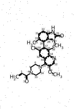 C=CC(=O)N1CCN(c2c(OC)cnc3c(F)c(-c4c(C)ccc5[nH]c(=O)n(C)c45)c(Cl)cc23)CC1